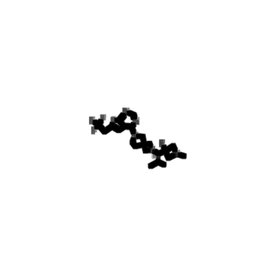 CC(C)[C@@H](N1CC2(CCN(c3ncnc4sc(CC(F)(F)F)cc34)C2)C1)C1(F)CN(C)C1